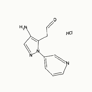 Cl.Nc1cnn(-c2cccnc2)c1CC=O